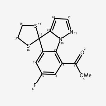 COC(=O)c1cc(F)cc2c1-n1nccc1C21SCCS1